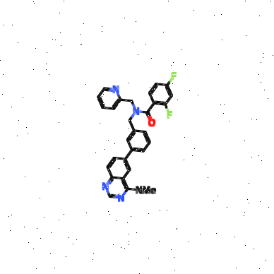 CNc1ncnc2ccc(-c3cccc(CN(Cc4ccccn4)C(=O)c4ccc(F)cc4F)c3)cc12